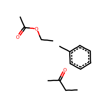 CCC(C)=O.CCOC(C)=O.Cc1ccccc1